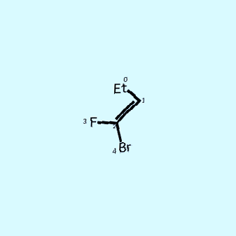 CC/C=C(\F)Br